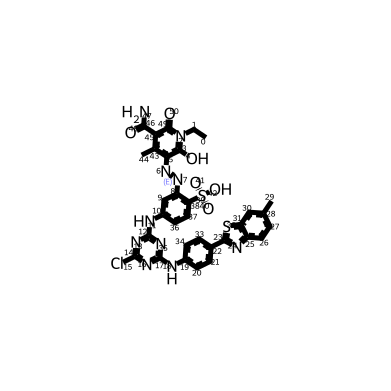 CCn1c(O)c(/N=N/c2cc(Nc3nc(Cl)nc(Nc4ccc(-c5nc6ccc(C)cc6s5)cc4)n3)ccc2S(=O)(=O)O)c(C)c(C(N)=O)c1=O